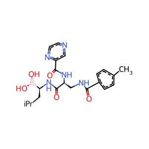 Cc1ccc(C(=O)NC[C@H](NC(=O)c2cnccn2)C(=O)N[C@@H](CC(C)C)B(O)O)cc1